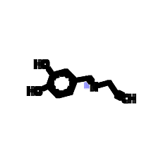 C#CC/N=C/c1ccc(O)c(O)c1